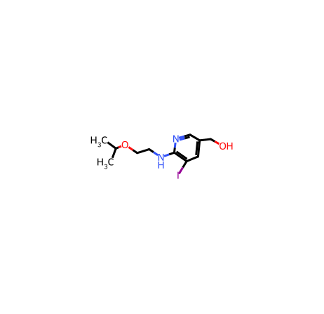 CC(C)OCCNc1ncc(CO)cc1I